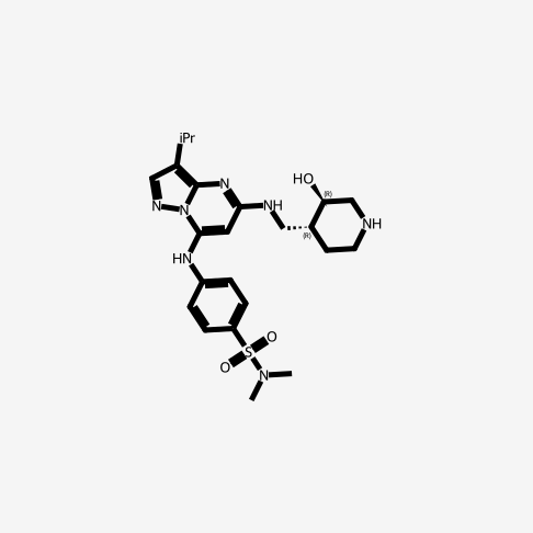 CC(C)c1cnn2c(Nc3ccc(S(=O)(=O)N(C)C)cc3)cc(NC[C@H]3CCNC[C@@H]3O)nc12